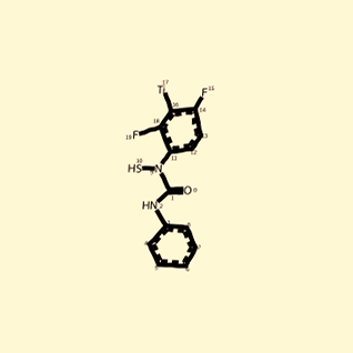 O=C(Nc1ccccc1)N(S)c1ccc(F)[c]([Ti])c1F